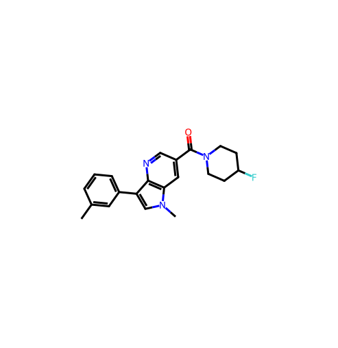 Cc1cccc(-c2cn(C)c3cc(C(=O)N4CCC(F)CC4)cnc23)c1